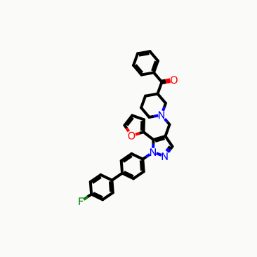 O=C(c1ccccc1)C1CCCN(Cc2cnn(-c3ccc(-c4ccc(F)cc4)cc3)c2-c2ccco2)C1